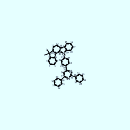 CC1(C)c2ccccc2-c2c1ccc1c3ccccc3n(-c3ccc(-c4cc(-c5ccccc5)nc(-c5ccccc5)n4)cc3)c21